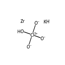 [KH].[O-][Cl+3]([O-])([O-])O.[Zr]